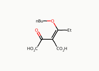 CCCCOC(CC)=C(C(=O)O)C(=O)C(=O)O